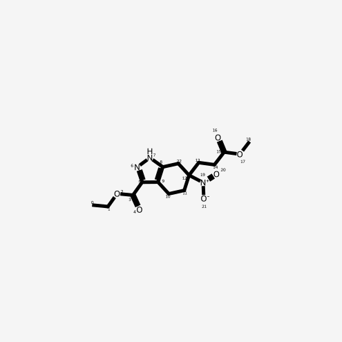 CCOC(=O)c1n[nH]c2c1CCC(CCC(=O)OC)([N+](=O)[O-])C2